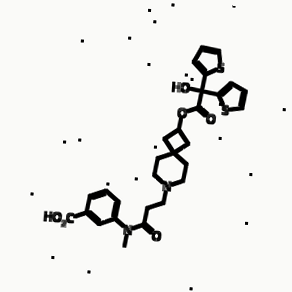 CN(C(=O)CCN1CCC2(CC1)CC(OC(=O)C(O)(c1cccs1)c1cccs1)C2)c1cccc(C(=O)O)c1